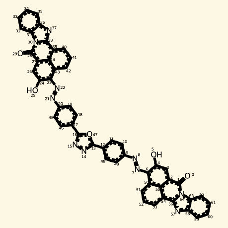 O=c1c2cc(O)c(N=Nc3ccc(-c4nnc(-c5ccc(N=Nc6c(O)cc7c(=O)n8c9ccccc9nc8c8cccc6c78)cc5)o4)cc3)c3cccc(c32)c2nc3ccccc3n12